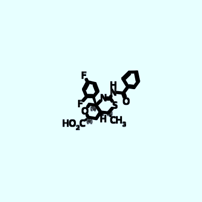 C[C@H]1SC(NC(=O)c2ccccc2)=N[C@@]2(c3ccc(F)cc3F)CO[C@@H](C(=O)O)C[C@@H]12